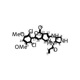 C=CC(=O)N[C@H]1CNC[C@H]1Nc1cc2c(=O)oc(C3C(Cl)=C(OC)C=C(OC)C3Cl)cc2cn1